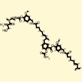 COc1cc(CNC(=O)CCCC/C=C/C(C)Cc2ccc(OC(N)=O)c(C(=O)Oc3ccc(CNC(=O)CCCC/C=C/C(C)C)cc3OC)c2)ccc1OC(=O)NCCN(C)C(=O)[C@@H](N)CO